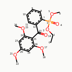 CCOP(=O)(OC)c1ccccc1C(=O)c1c(OC)cc(OC)cc1OC